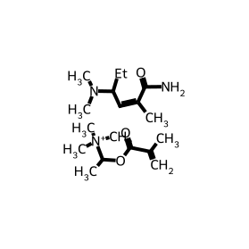 C=C(C)C(=O)OC(C)[N+](C)(C)C.CCC(C=C(C)C(N)=O)N(C)C